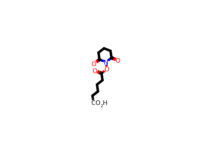 O=C(O)CCCCC(=O)ON1C(=O)CCCC1=O